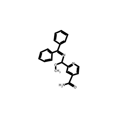 COC(N=C(c1ccccc1)c1ccccc1)c1cc(C(N)=O)ccn1